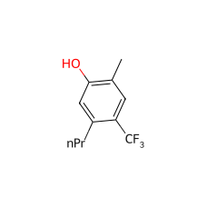 CCCc1cc(O)c(C)cc1C(F)(F)F